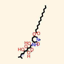 CCCCCCCCCCCCCC(=O)O[C@H]1CC[C@H](NC(=O)[C@H](OC)[C@H](O)[C@@H](O)[C@H](O)/C=C/C(C)C)C(=O)N(C)C1